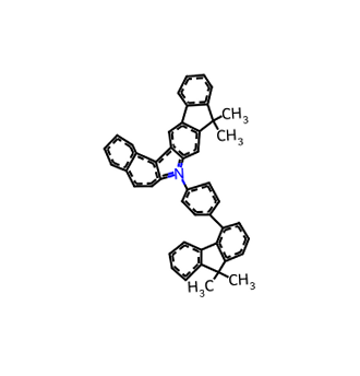 CC1(C)c2ccccc2-c2cc3c4c5ccccc5ccc4n(-c4ccc(-c5cccc6c5-c5ccccc5C6(C)C)cc4)c3cc21